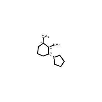 CN[C@H]1[C@H](N2CCCC2)CCC[C@H]1OC